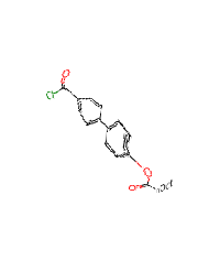 CCCCCCCCC(=O)Oc1ccc(-c2ccc(C(=O)Cl)cc2)cc1